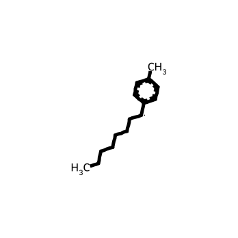 CCCCCCC[CH]c1ccc(C)cc1